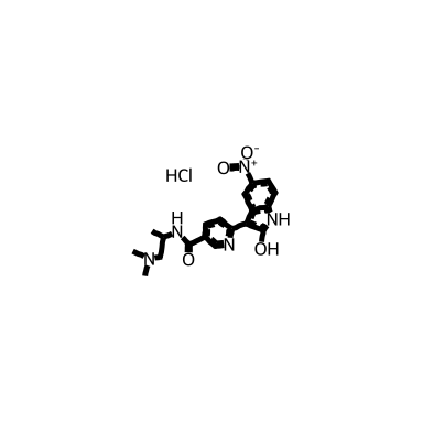 CC(CN(C)C)NC(=O)c1ccc(-c2c(O)[nH]c3ccc([N+](=O)[O-])cc23)nc1.Cl